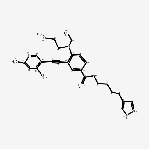 C=C(NCCCCc1cn[nH]c1)c1ccc(N(CC)CCOC)c(C#Cc2cnc(C)cc2C)c1